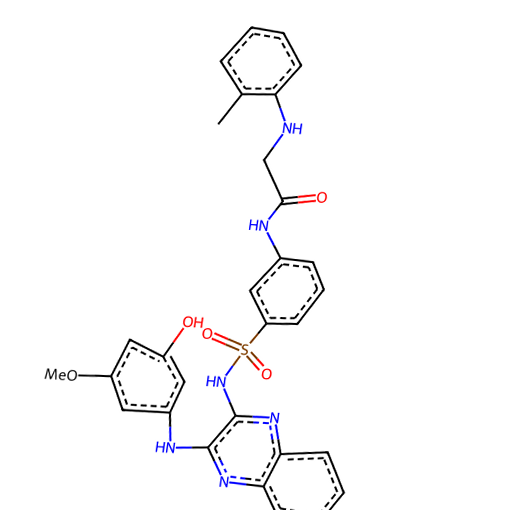 COc1cc(O)cc(Nc2nc3ccccc3nc2NS(=O)(=O)c2cccc(NC(=O)CNc3ccccc3C)c2)c1